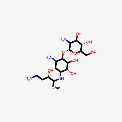 COC(N[C@@H]1CC(N)[C@@H](O[C@H]2OC(CO)[C@@H](O)C(O)C2N)C(O)[C@@H]1O)[C@@H](O)CCN